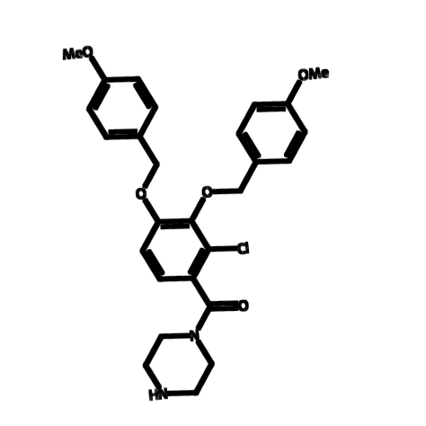 COc1ccc(COc2ccc(C(=O)N3CCNCC3)c(Cl)c2OCc2ccc(OC)cc2)cc1